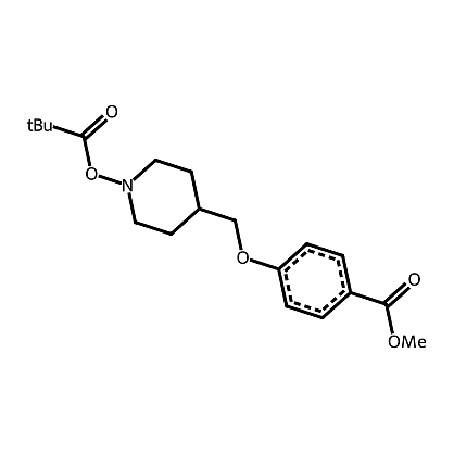 COC(=O)c1ccc(OCC2CCN(OC(=O)C(C)(C)C)CC2)cc1